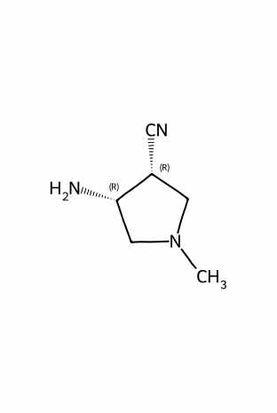 CN1C[C@@H](C#N)[C@@H](N)C1